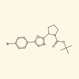 CC(C)(C)OC(=O)N1CCCC1c1ncc(-c2ccc(Br)cc2)o1